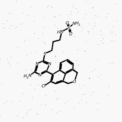 Nc1nc(SCCCNS(N)(=O)=O)nc(-c2c(Cl)cc3c4c(cccc24)COC3)n1